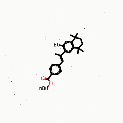 CCCCOC(=O)c1ccc(C=C(C)c2cc3c(cc2CC)C(C)(C)CCC3(C)C)cc1